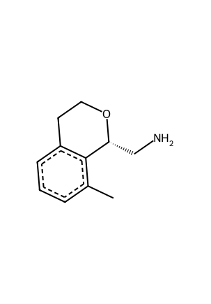 Cc1cccc2c1[C@@H](CN)OCC2